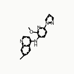 COc1nc(-n2cccn2)ccc1Nc1ccnc2cc(C)ccc12